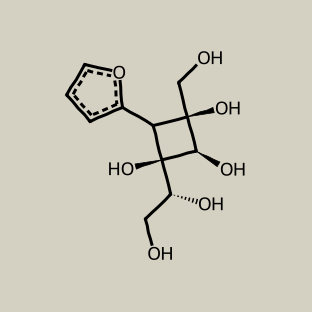 OC[C@@H](O)[C@]1(O)C(c2ccco2)[C@](O)(CO)[C@H]1O